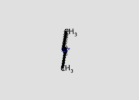 CCCCCCCCCCCCC[n+]1ccc(CCCCCCCCCCCC)cc1